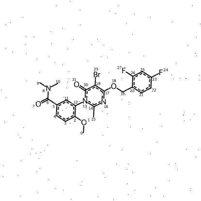 COc1ccc(C(=O)N(C)C)cc1-n1c(C)nc(OCc2ccc(F)cc2F)c(Br)c1=O